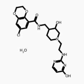 O.O=C(NCC1CCN(CCNc2nccc(O)n2)CC1O)c1cc(Cl)cc2c1OCCO2